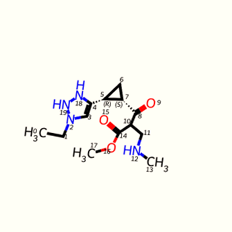 CCN1C=C([C@@H]2C[C@@H]2C(=O)C(CNC)C(=O)OC)NN1